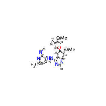 C=Nc1cc(CNc2nc(C)nc3cc(OC)c(OCC4(C(C)OC)CC4)cc23)cc(C(F)(F)F)n1